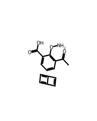 CC(=O)c1cccc(C(=O)O)c1ON.c1cc2ccc1-2